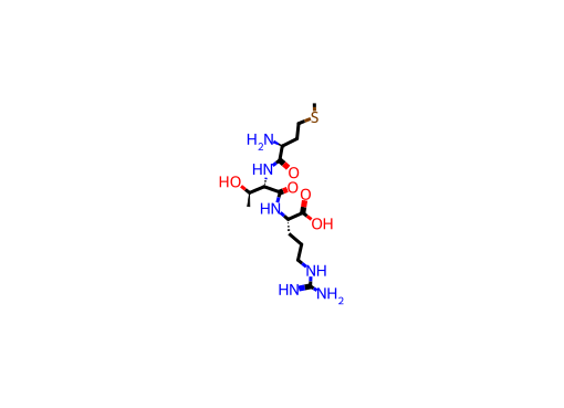 CSCC[C@H](N)C(=O)N[C@H](C(=O)N[C@@H](CCCNC(=N)N)C(=O)O)[C@@H](C)O